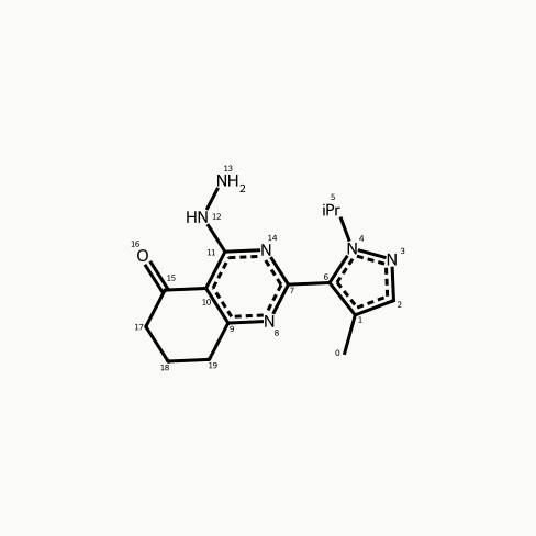 Cc1cnn(C(C)C)c1-c1nc2c(c(NN)n1)C(=O)CCC2